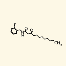 CCCCCCCCCC(=O)CC(=O)NCc1ccccc1F